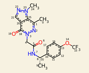 Cc1nn(CC(=O)N[C@@H](C)c2ccc(OC(F)(F)F)cc2)c(=O)c2cnn(C)c12